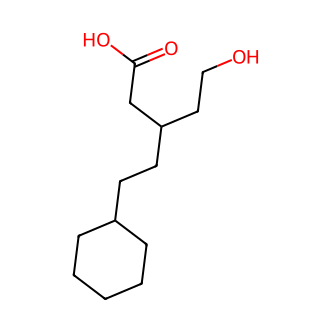 O=C(O)CC(CCO)CCC1CCCCC1